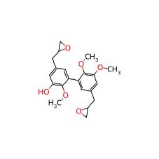 COc1cc(CC2CO2)cc(-c2cc(CC3CO3)cc(O)c2OC)c1OC